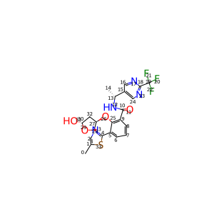 Cc1cnc(-c2cccc(C(=O)N[C@H](C)c3cnc(C(F)(F)F)nc3)c2O[C@H]2CO[C@H](O)C2)s1